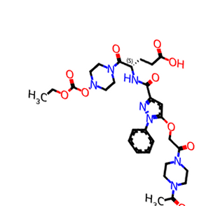 CCOC(=O)ON1CCN(C(=O)[C@H](CCC(=O)O)NC(=O)c2cc(OCC(=O)N3CCN(C(C)=O)CC3)n(-c3ccccc3)n2)CC1